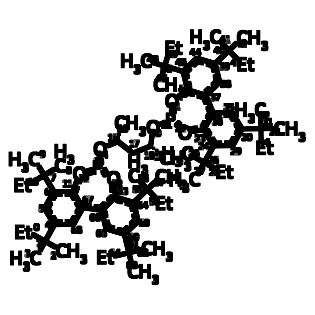 CCC(C)(C)c1cc(C(C)(C)CC)c2op(O[C@H](C)C[C@@H](C)Op3oc4c(C(C)(C)CC)cc(C(C)(C)CC)cc4c4cc(C(C)(C)CC)cc(C(C)(C)CC)c4o3)oc3c(C(C)(C)CC)cc(C(C)(C)CC)cc3c2c1